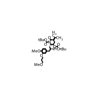 COCCCOc1cc(C[C@@H](C[C@H]2[C@@H](OC(=O)OC(C)(C)C)CC(=C(C)C)C(=O)N2C(=O)OC(C)(C)C)C(C)C)ccc1OC